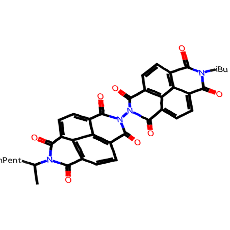 CCCCCC(C)N1C(=O)c2ccc3c4c(ccc(c24)C1=O)C(=O)N(N1C(=O)c2ccc4c5c(ccc(c25)C1=O)C(=O)N(C(C)CC)C4=O)C3=O